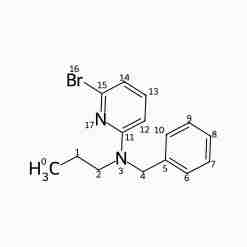 CCCN(Cc1ccccc1)c1cccc(Br)n1